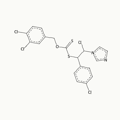 S=C(OCc1ccc(Cl)c(Cl)c1)SC(c1ccc(Cl)cc1)C(Cl)n1ccnc1